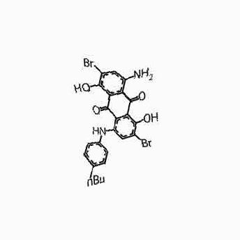 CCCCc1ccc(Nc2cc(Br)c(O)c3c2C(=O)c2c(O)c(Br)cc(N)c2C3=O)cc1